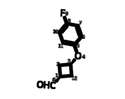 O=C[C@H]1C[C@@H](Oc2ccc(F)cc2)C1